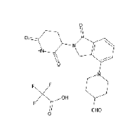 O=C(O)C(F)(F)F.O=CC1CCN(c2cccc3c2CN(C2CCC(=O)NC2=O)C3=O)CC1